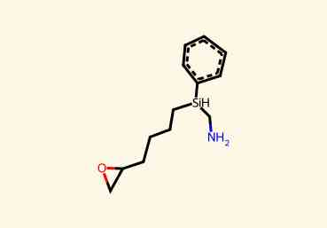 NC[SiH](CCCCC1CO1)c1ccccc1